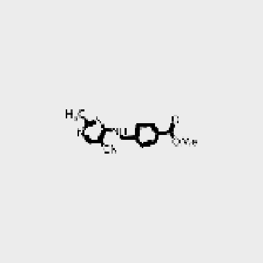 COC(=O)c1ccc(CNc2nc(C)ncc2C#N)cc1